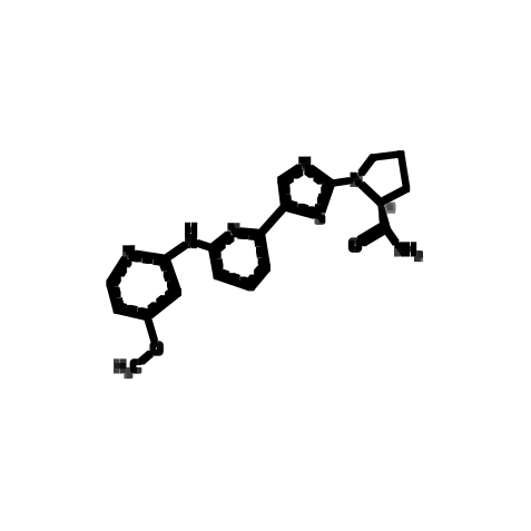 COc1ccnc(Nc2cccc(-c3cnc(N4CCC[C@H]4C(N)=O)s3)n2)c1